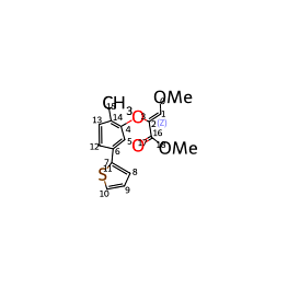 CO/C=C(\Oc1cc(-c2cccs2)ccc1C)C(=O)OC